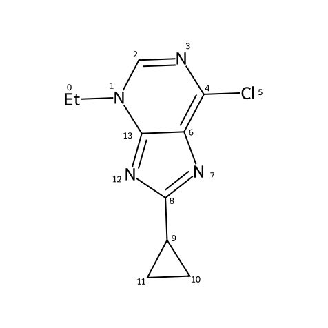 CCn1cnc(Cl)c2nc(C3CC3)nc1-2